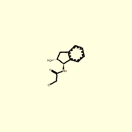 O=C(CCl)N[C@@H]1c2ccccc2C[C@H]1O